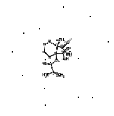 C=C(C)C(=O)OC1(C(=O)O)CCCCC1(C)C(=O)O